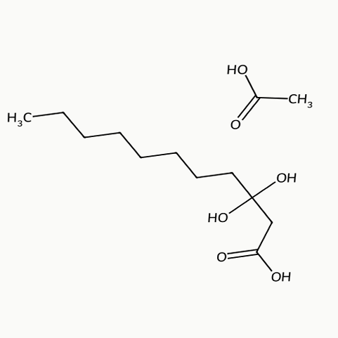 CC(=O)O.CCCCCCCCC(O)(O)CC(=O)O